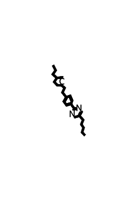 CCCCCc1cnc(-c2ccc(CCC3CCC(CCC)CC3)cc2)nc1